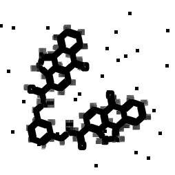 O=C(NCc1cccc(CNC(=O)c2ccc3c4c(nsc24)-c2ccccc2C3=O)c1)c1ccc2c3c(nsc13)-c1ccccc1C2=O